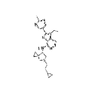 CCn1c(-c2cnc(C)nc2)nc2c(NC3CN(CCC4CC4)CC34CC4)ncnc21